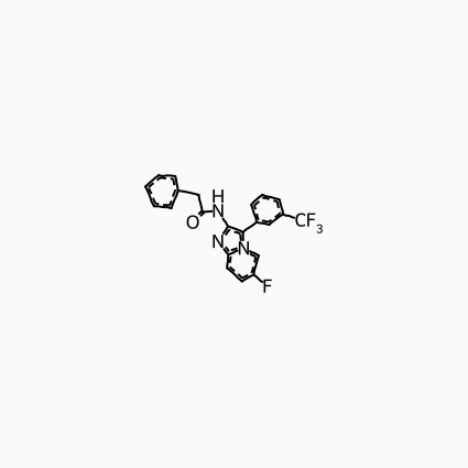 O=C(Cc1ccccc1)Nc1nc2ccc(F)cn2c1-c1cccc(C(F)(F)F)c1